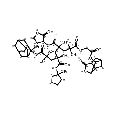 CCC(C)(CC(C)(CC(C)(CC(C)(C)C(=O)OCC(=O)OC1C2CC3C(=O)OC1C3C2)C(=O)OC1CCOC1=O)C(=O)OC1(C(C)C)CCCC1)C(=O)OC1(C(C)C)C2CC3CC(C2)CC1C3